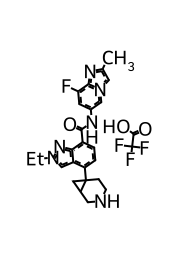 CCn1cc2c(C34CCNCC3C4)ccc(C(=O)Nc3cc(F)c4nc(C)cn4c3)c2n1.O=C(O)C(F)(F)F